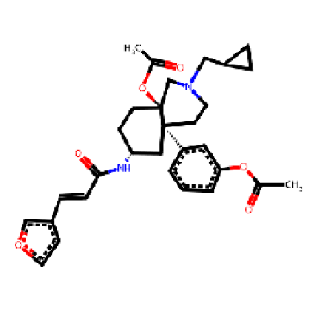 CC(=O)Oc1cccc([C@@]23CCN(CC4CC4)C[C@@]2(OC(C)=O)CC[C@@H](NC(=O)C=Cc2ccoc2)C3)c1